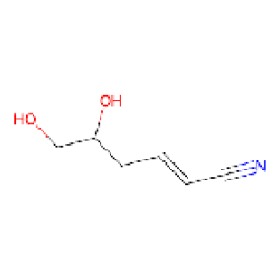 N#CC=CCC(O)CO